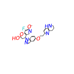 COc1ncc(C(CC(=O)O)n2ncc3cc(OCCc4ccc5c(n4)CCCN5)ccc32)cc1F